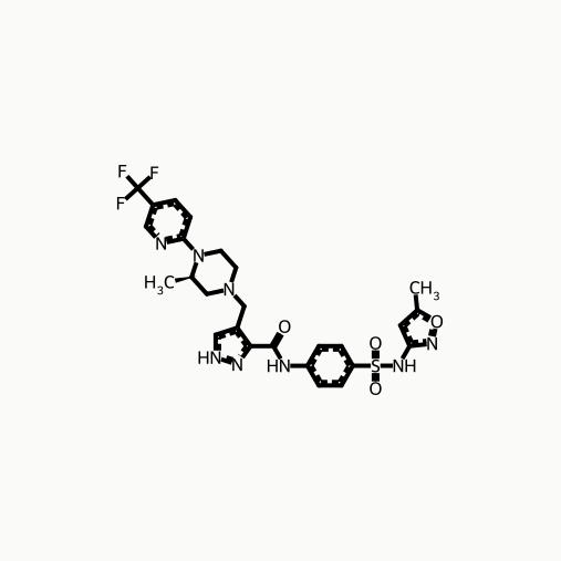 Cc1cc(NS(=O)(=O)c2ccc(NC(=O)c3n[nH]cc3CN3CCN(c4ccc(C(F)(F)F)cn4)[C@H](C)C3)cc2)no1